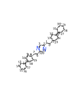 C(=Cc1cnc(C=Cc2ccc(-c3ccccc3)cc2)cn1)c1ccc(-c2ccccc2)cc1